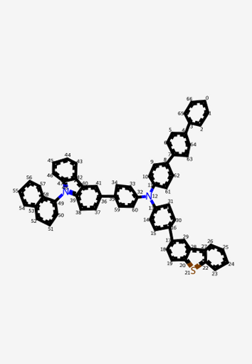 c1ccc(-c2ccc(-c3ccc(N(c4ccc(-c5ccc6sc7ccccc7c6c5)cc4)c4ccc(-c5ccc6c(c5)c5ccccc5n6-c5cccc6ccccc56)cc4)cc3)cc2)cc1